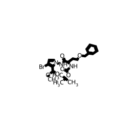 COC(=O)c1c(Br)ccn1NC(=O)C(CCOCc1ccccc1)NC(=O)OC(C)(C)C